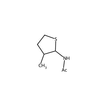 CC(=O)NC1SCCC1C